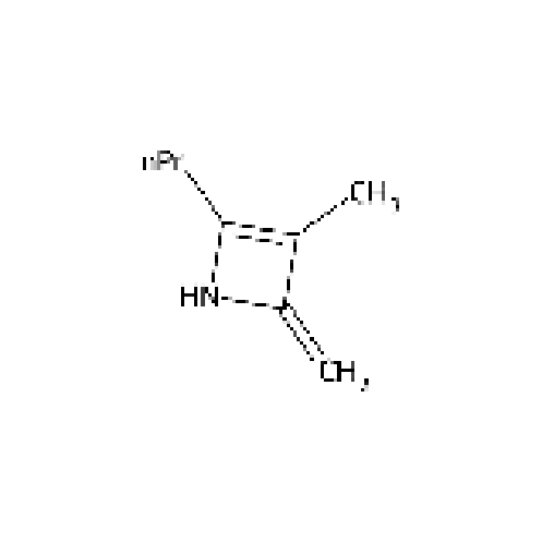 C=C1NC(CCC)=C1C